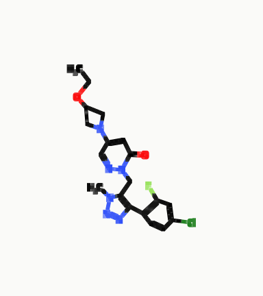 CCOC1CN(c2cnn(Cc3c(-c4ccc(Cl)cc4F)nnn3C)c(=O)c2)C1